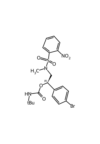 CN(C[C@H](OC(=O)NC(C)(C)C)c1ccc(Br)cc1)S(=O)(=O)c1ccccc1[N+](=O)[O-]